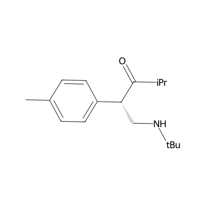 Cc1ccc([C@@H](CNC(C)(C)C)C(=O)C(C)C)cc1